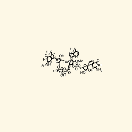 COC[C@H]1[C@@H](O)[C@H](n2c[n+](C)c3c(=O)[nH]c(NC(C)C)nc32)O[C@@H]1COP(=O)(O)OP(=O)(O)OP(=O)(O)OC[C@H]1O[C@@H](n2cnc3c(N)ncnc32)[C@H](OC)[C@@H]1OP(=O)([O-])OC[C@H]1O[C@@H](n2cnc3c(=O)[nH]c(N)nc32)[C@H](O)[C@@H]1O